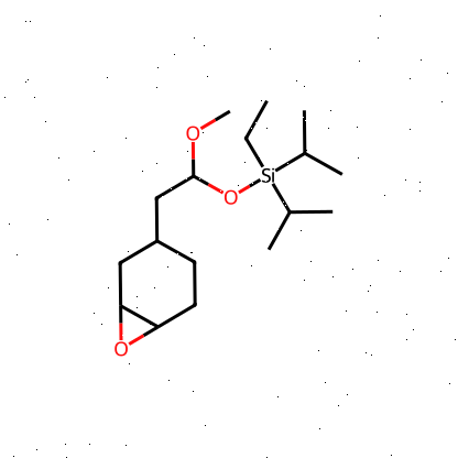 CC[Si](OC(CC1CCC2OC2C1)OC)(C(C)C)C(C)C